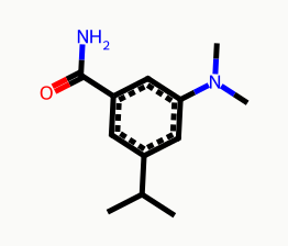 CC(C)c1cc(C(N)=O)cc(N(C)C)c1